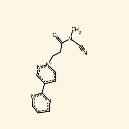 CN(C#N)C(=O)CC[n+]1ccc(-c2ncccn2)cn1